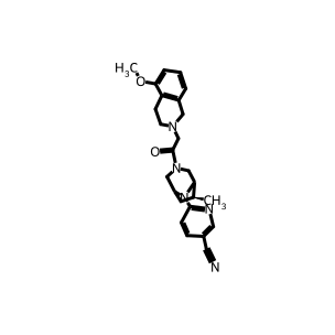 COc1cccc2c1CCN(CC(=O)N1CC3C[C@H](C)C(C1)N3c1ccc(C#N)cn1)C2